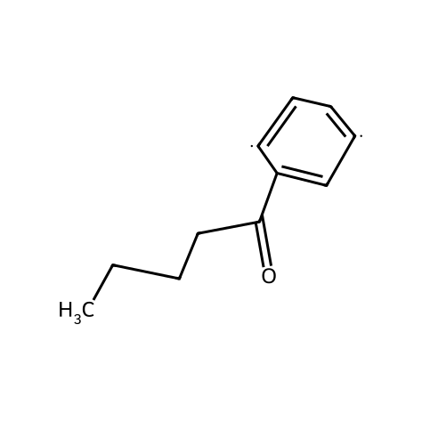 CCCCC(=O)c1[c]cc[c]c1